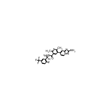 [2H]C([2H])(NC(=O)c1cc(-c2ccn3nc(N)nc3c2)c(C)nc1C)c1cc(C(F)(F)F)ccc1F